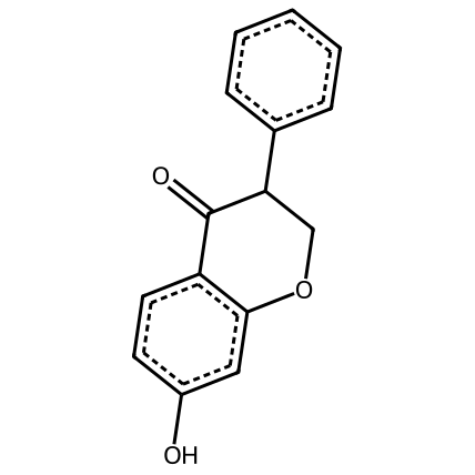 O=C1c2ccc(O)cc2OCC1c1ccccc1